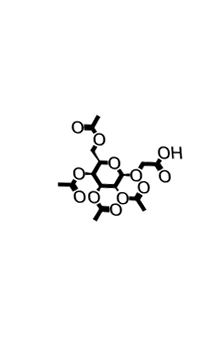 CC(=O)OC[C@H]1O[C@@H](OCC(=O)O)[C@H](OC(C)=O)[C@@H](OC(C)=O)[C@H]1OC(C)=O